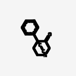 O=C1CN2CCC1(c1ccccc1)CC2